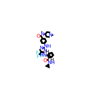 CN1CCC(N(C)C(=O)c2ccc(Nc3ncc(C(F)(F)F)c(N[C@@H]4[C@H](C(=O)NC5CC5)[C@@H]5C=C[C@H]4C5)n3)cc2)CC1